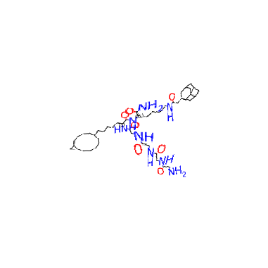 NCC(=O)NCC(=O)NCC(=O)NCC(=O)N[C@@H](CCCCCC1CCCCCC2CC2CCCC1)C(=O)N[C@@H](CCCCNC(=O)CC12CC3CC4CC(C1)C4(C3)C2)C(N)=O